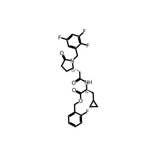 O=C(C[C@@H]1CCC(=O)N1Cc1cc(F)cc(F)c1F)N[C@@H](CC1CC1)C(=O)OCc1ccccc1F